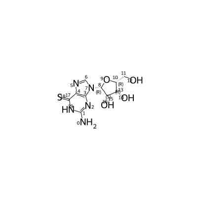 Nc1nc2c(ncn2[C@@H]2O[C@H](CO)[C@H](O)[C@@H]2O)c(=S)[nH]1